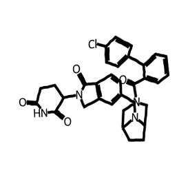 O=C1CCC(N2Cc3cc(CN4C5CCC4CN(C(=O)c4ccccc4-c4ccc(Cl)cc4)C5)ccc3C2=O)C(=O)N1